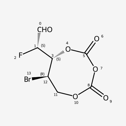 O=C[C@@H](F)[C@@H]1OC(=O)OC(=O)OC[C@H]1Br